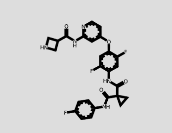 O=C(Nc1cc(Oc2cc(F)c(NC(=O)C3(C(=O)Nc4ccc(F)cc4)CC3)cc2F)ccn1)C1CNC1